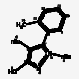 CCCCc1c(O)nn(CCCC)c1-c1ccccc1C